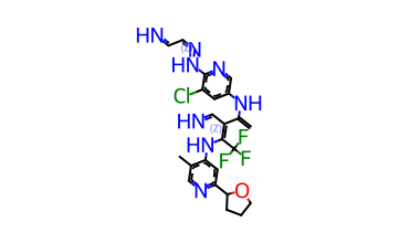 C=C(Nc1cnc(N/N=C\C=N)c(Cl)c1)/C(C=N)=C(/Nc1cc(C2CCCO2)ncc1C)C(F)(F)F